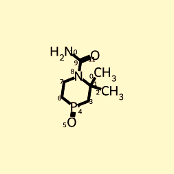 CC1(C)C[P](=O)CCN1C(N)=O